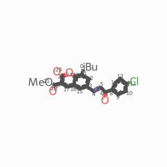 CCC(C)c1cc(/C=C/C(=O)c2ccc(Cl)cc2)cc2cc(C(=O)OC)c(=O)oc12